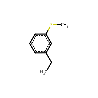 CCc1[c]ccc(SC)c1